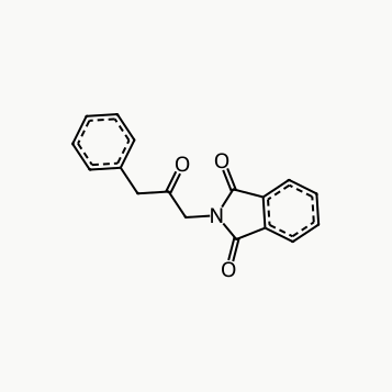 O=C(Cc1ccccc1)CN1C(=O)c2ccccc2C1=O